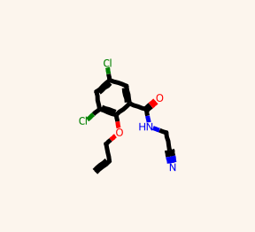 C=CCOc1c(Cl)cc(Cl)cc1C(=O)NCC#N